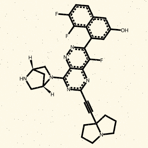 Oc1cc(-c2nnc3c(N4C[C@@H]5C[C@H]4CN5)nc(C#CC45CCCN4CCC5)nc3c2F)c2c(F)c(F)ccc2c1